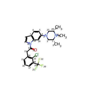 C[C@@H]1CN(c2ccc3ccn(C(=O)Cc4cccc(C(F)(F)F)c4Cl)c3c2)C[C@H](C)N1C